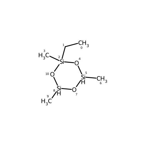 CC[Si]1(C)O[SiH](C)O[SiH](C)O1